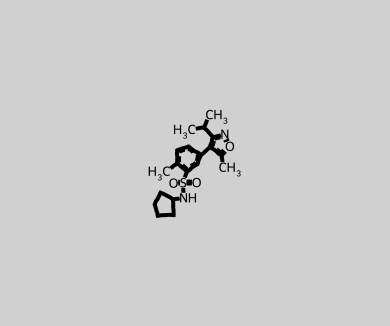 Cc1ccc(-c2c(C(C)C)noc2C)cc1S(=O)(=O)NC1CCCC1